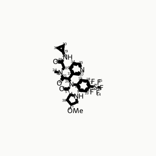 CO[C@H]1CN[C@@H](C(=O)N(c2ccc(S(F)(F)(F)(F)F)cc2)C(C(=O)N(C)CC(=O)NC2CC2)c2cccnc2)C1